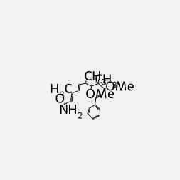 COC(/C=C/c1ccccc1)C(C)[C@@H](OC)C(C)/C=C/C(C)=C/C(N)=O